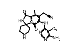 COc1c(N)ncnc1Nc1c(CC#N)c(C)c2n(c1=O)C1(CCNCC1)NC2=O